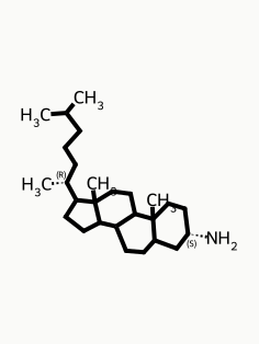 CC(C)CCC[C@@H](C)C1CCC2C3CCC4C[C@@H](N)CCC4(C)C3CCC21C